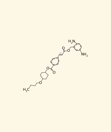 CCCCOC1CCC(OC(=O)c2ccc(/C=C/C(=O)OCc3cc(N)ccc3N)cc2)CC1